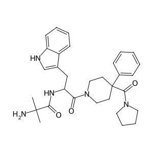 CC(C)(N)C(=O)NC(Cc1c[nH]c2ccccc12)C(=O)N1CCC(C(=O)N2CCCC2)(c2ccccc2)CC1